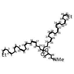 CC/C=C\C/C=C\C/C=C\C/C=C\C/C=C\C/C=C\CCCC1(CCC/C=C\C/C=C\C/C=C\C/C=C\C/C=C\C/C=C\CC)OCC(CCNC)O1